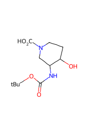 CC(C)(C)OC(=O)NC1CN(C(=O)O)CCC1O